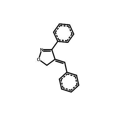 C(=C1CON=C1c1ccccc1)c1ccccc1